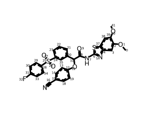 COc1cc2nc(NC(=O)C(Oc3ccc(C#N)cc3)c3cccc(S(=O)(=O)c4ccc(F)cc4)c3)sc2cc1OC